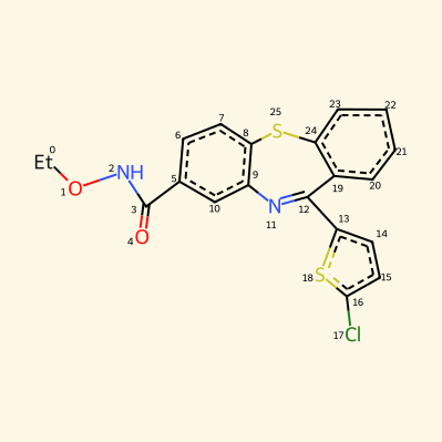 CCONC(=O)c1ccc2c(c1)N=C(c1ccc(Cl)s1)c1ccccc1S2